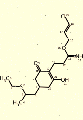 CCSC(C)CC1CC(=O)C(CCC(=N)OC/C=C/Cl)=C(O)C1